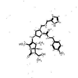 C[C@@H](O)[C@H]1C(=O)N2C(C(=O)O)=C(S[C@H]3C[C@@H](COCc4ncn[nH]4)N(C(=O)OCc4ccc([N+](=O)[O-])cc4)C3)[C@H](C)[C@H]12